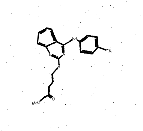 COC(=O)CCCSc1nc(Nc2ccc(C#N)cc2)c2ccccc2n1